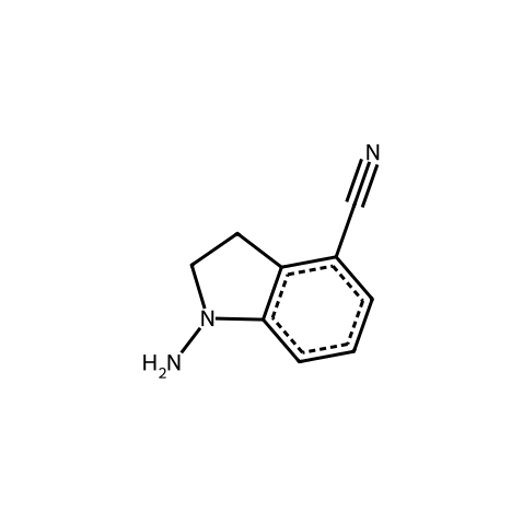 N#Cc1cccc2c1CCN2N